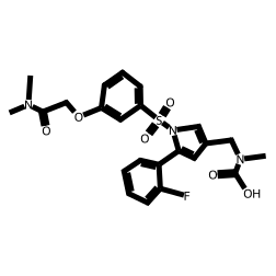 CN(C)C(=O)COc1cccc(S(=O)(=O)n2cc(CN(C)C(=O)O)cc2-c2ccccc2F)c1